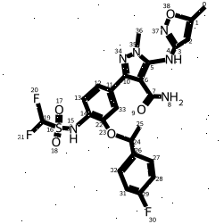 Cc1cc(Nc2c(C(N)=O)c(-c3ccc(NS(=O)(=O)C(F)F)c(OC(C)c4ccc(F)cc4)c3)nn2C)no1